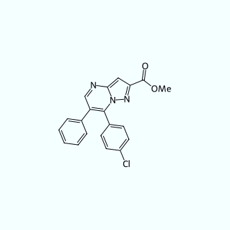 COC(=O)c1cc2ncc(-c3ccccc3)c(-c3ccc(Cl)cc3)n2n1